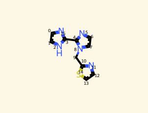 c1c[nH]c(-c2nccn2Cc2nccs2)n1